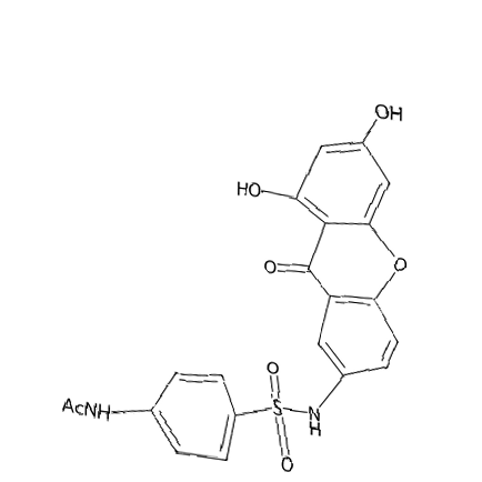 CC(=O)Nc1ccc(S(=O)(=O)Nc2ccc3oc4cc(O)cc(O)c4c(=O)c3c2)cc1